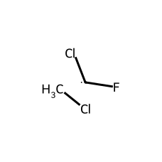 CCl.F[CH]Cl